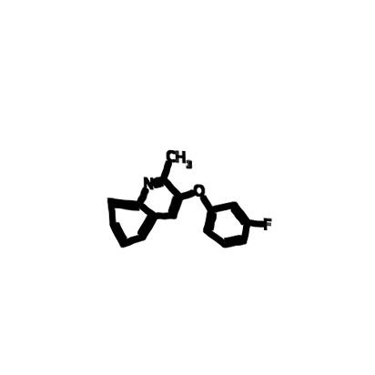 Cc1nc2ccccc2cc1Oc1cccc(F)c1